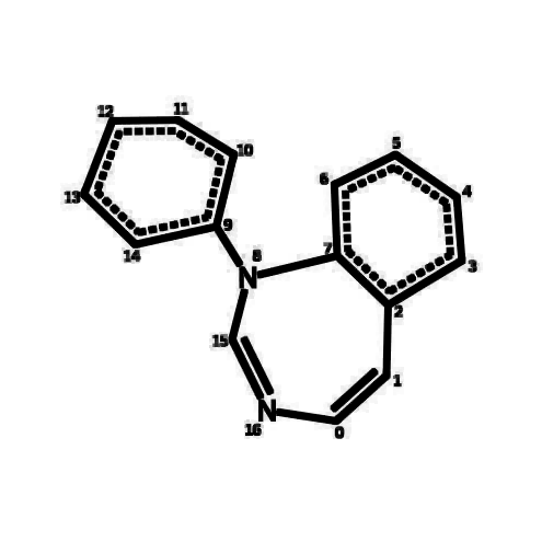 C1=Cc2ccccc2N(c2ccccc2)C=N1